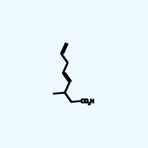 C=CCC=CC(C)CC(=O)O